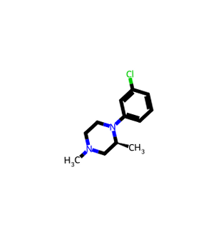 C[C@H]1CN(C)CCN1c1cccc(Cl)c1